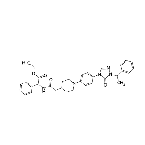 CCOC(=O)[C@H](NC(=O)CC1CCN(c2ccc(-n3cnn(C(C)c4ccccc4)c3=O)cc2)CC1)c1ccccc1